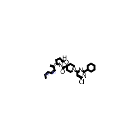 C=C(/C=C\C=C/C)[C@@H]1CC[C@H]2OC3(CCN(c4cc(Cl)nc(C5CCCCC5)n4)CC3)C(=O)N21